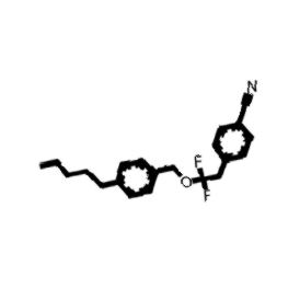 CCCCCc1ccc(COC(F)(F)Cc2ccc(C#N)cc2)cc1